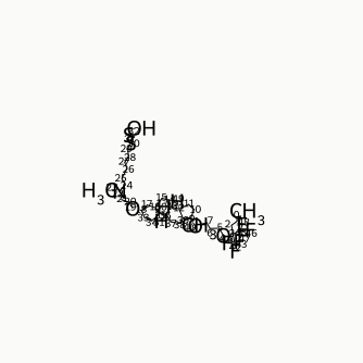 CCCC(OCCCO[C@H]1CC[C@H]2[C@@H]3CCc4cc(OCCN(C)CCCCCCSSO)ccc4[C@H]3CC[C@]12C)(C(F)(F)F)C(F)(F)F